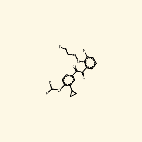 O=C(C(=O)c1cccc(F)c1OCCCF)c1ccc(OC(F)F)c(C2CC2)c1